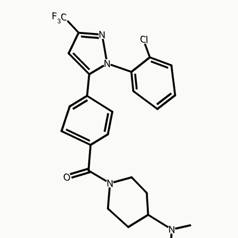 CN(C)C1CCN(C(=O)c2ccc(-c3cc(C(F)(F)F)nn3-c3ccccc3Cl)cc2)CC1